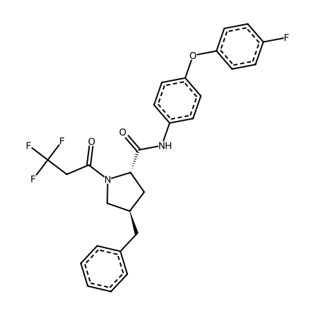 O=C(Nc1ccc(Oc2ccc(F)cc2)cc1)[C@@H]1C[C@@H](Cc2ccccc2)CN1C(=O)CC(F)(F)F